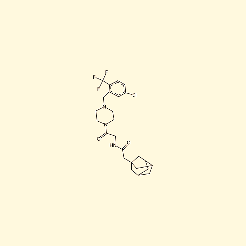 O=C(CC12CC3CC(C1)C(C3)C2)NCC(=O)N1CCN(Cc2cc(Cl)ccc2C(F)(F)F)CC1